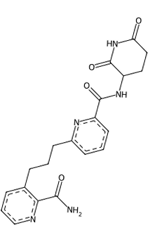 NC(=O)c1ncccc1CCCc1cccc(C(=O)NC2CCC(=O)NC2=O)n1